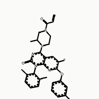 C=CC(=O)N1CCN(c2nc(=O)n(-c3c(C)cccc3C)c3nc(Oc4cccc(F)c4)c(F)cc23)C(C)C1